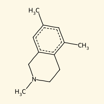 Cc1cc(C)c2c(c1)CN(C)CC2